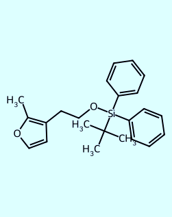 Cc1occc1CCO[Si](c1ccccc1)(c1ccccc1)C(C)(C)C